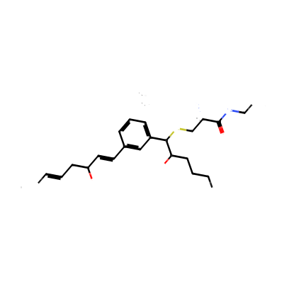 CCCCCC=CCC(O)C=Cc1cccc(C(SC[C@H](N)C(=O)NCC(=O)O)C(O)CCCC(=O)O)c1.[Na].[Na]